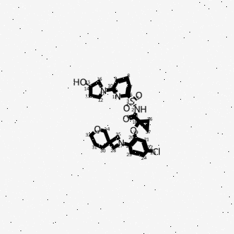 O=C(NS(=O)(=O)c1cccc(N2CC[C@H](O)C2)n1)C1(Oc2cc(Cl)ccc2N2CC3(CCCOC3)C2)CC1